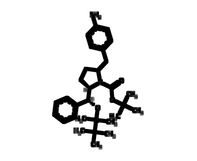 CC(C)(C)OC(=O)N1C(Cc2ccc(N)cc2)CC[C@@H]1[C@H](O[Si](C)(C)C(C)(C)C)c1ccccc1